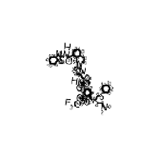 CN(C)CC[C@H](CSc1ccccc1)Nc1ccc(S(=O)(=O)NC(=O)c2csc(N3CCc4cccc(C(=O)Nc5nc6ccccc6s5)c4C3)n2)cc1S(=O)(=O)CC(F)(F)F